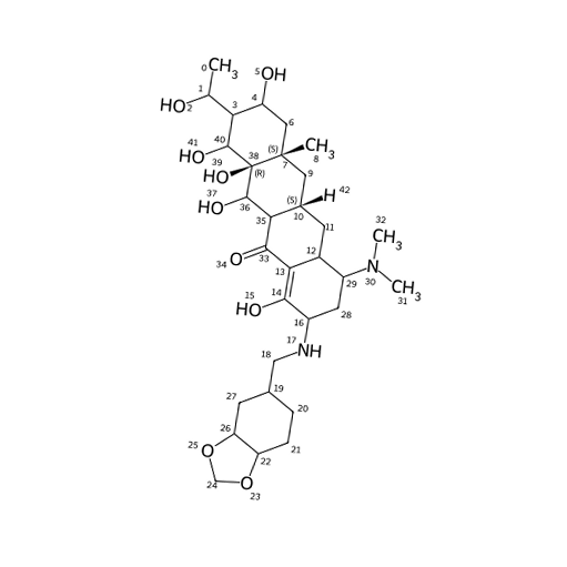 CC(O)C1C(O)C[C@]2(C)C[C@@H]3CC4C(=C(O)C(NCC5CCC6OCOC6C5)CC4N(C)C)C(=O)C3C(O)[C@]2(O)C1O